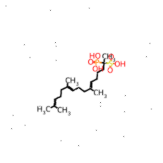 CC(C)=CCCC(C)=CCCC(C)=CCCCC(C)(P(=O)(O)O)S(=O)(=O)O